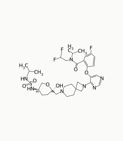 CC(C)NS(=O)(=O)N[C@@H]1CC[C@](O)(CN2CCC3(CC2)CN(c2ncncc2Oc2ccc(F)cc2C(=O)N(CC(F)F)C(C)C)C3)OC1